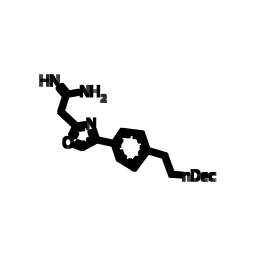 CCCCCCCCCCCCc1ccc(-c2coc(CC(=N)N)n2)cc1